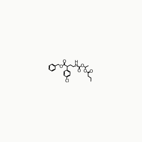 CCCC(=O)OC(C)OC(=O)NCCC(C(=O)OCc1ccccc1)c1ccc(Cl)cc1